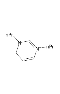 CCCN1C=[N+](CCC)C=CC1